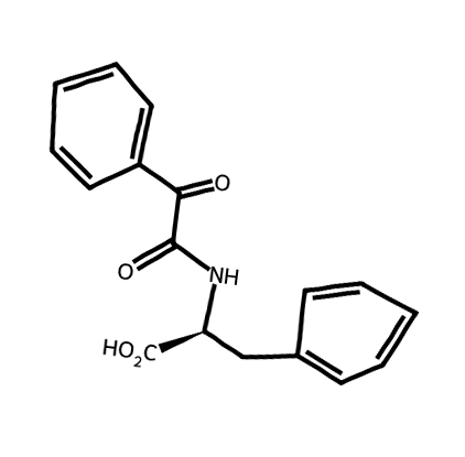 O=C(N[C@@H](Cc1ccccc1)C(=O)O)C(=O)c1ccccc1